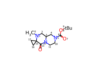 CN1CC2CN(C(=O)OC(C)(C)C)CCN2C(=O)C12CC2